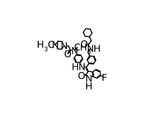 CN1CCN(CC(=O)N(C)c2ccc(N/C(=C3\C(=O)Nc4cc(F)ccc43)c3cccc(CNC(=O)CC4CCCCC4)c3)cc2)CC1